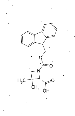 CC1(C)CN(C(=O)OCC2c3ccccc3-c3ccccc32)[C@@H]1C(=O)O